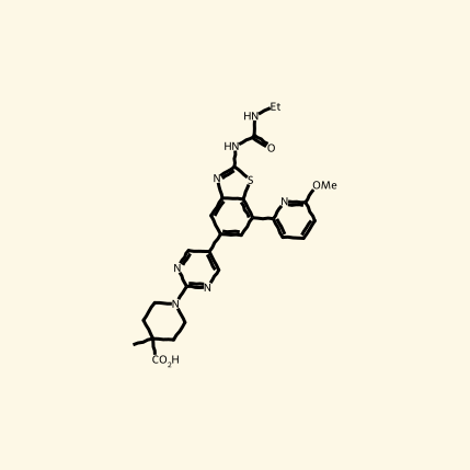 CCNC(=O)Nc1nc2cc(-c3cnc(N4CCC(C)(C(=O)O)CC4)nc3)cc(-c3cccc(OC)n3)c2s1